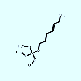 CCC=CCCCO[Si](OC)(OC)OC